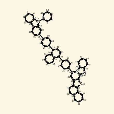 c1ccc(-n2c3ccccc3c3ccc(-c4ccc(-c5ccc(-c6ccc(-c7cc8c9ccc%10ccccc%10c9sc8c8nc9ccccc9n78)cc6)c6ccccc56)cc4)cc32)cc1